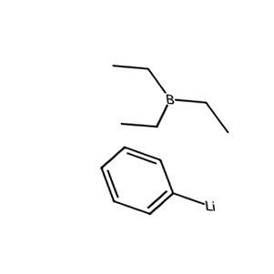 CCB(CC)CC.[Li][c]1ccccc1